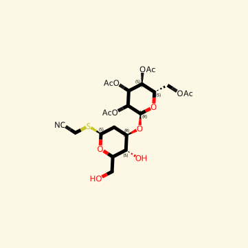 CC(=O)OC[C@@H]1O[C@@H](O[C@@H]2C[C@H](SCC#N)OC(CO)[C@H]2O)C(OC(C)=O)C(OC(C)=O)[C@H]1OC(C)=O